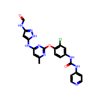 Cc1cc(Nc2cc(NC=O)n[nH]2)nc(Oc2ccc(NC(=O)Nc3ccncc3)cc2Cl)n1